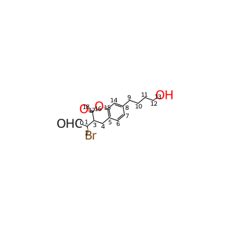 O=CC(Br)C1Cc2ccc(CCCCO)cc2OC1=O